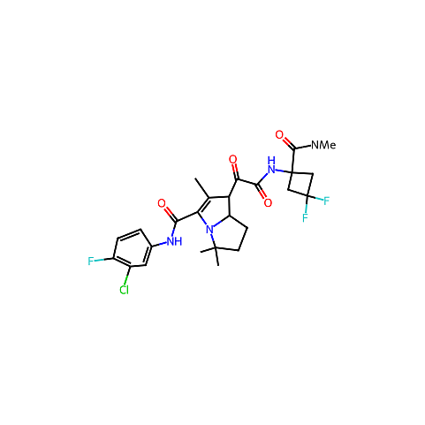 CNC(=O)C1(NC(=O)C(=O)C2C(C)=C(C(=O)Nc3ccc(F)c(Cl)c3)N3C2CCC3(C)C)CC(F)(F)C1